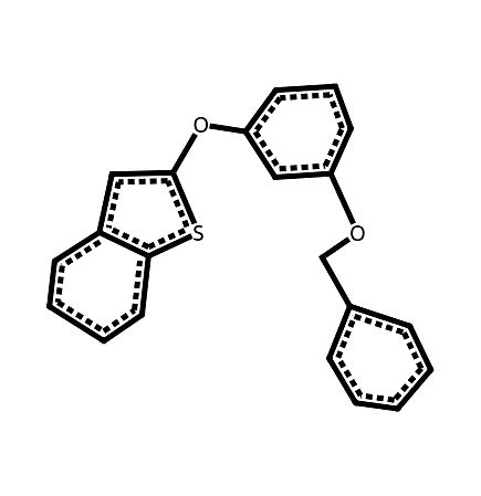 c1ccc(COc2cccc(Oc3cc4ccccc4s3)c2)cc1